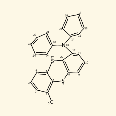 Clc1cccc2c1Sc1cccc(N(c3ccccc3)c3ccccc3)c1S2